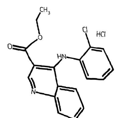 CCOC(=O)c1cnc2ccccc2c1Nc1ccccc1Cl.Cl